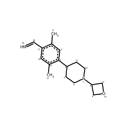 Cc1cc(C2CCN(C3COC3)CC2)c(C)cc1C=N